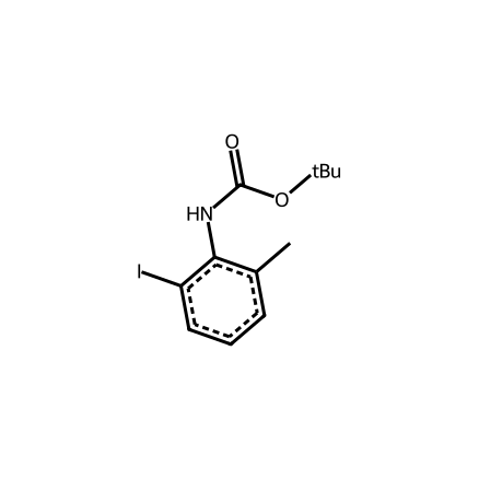 Cc1cccc(I)c1NC(=O)OC(C)(C)C